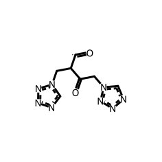 O=[C]C(Cn1cnnn1)C(=O)Cn1cnnn1